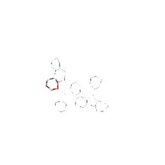 c1ccc(N(c2ccccc2)c2ccc(-c3ccccc3-n3c4ccccc4c4ccccc43)cc2-c2cc3ccccc3c3ccccc23)cc1